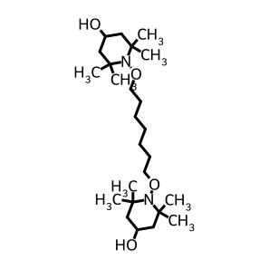 CC1(C)CC(O)CC(C)(C)N1OCCCCCCCON1C(C)(C)CC(O)CC1(C)C